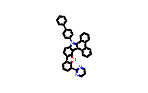 c1ccc(-c2ccc(-n3c4ccc5c6cccc(-c7ncccn7)c6oc5c4c4c5ccccc5c5ccccc5c43)cc2)cc1